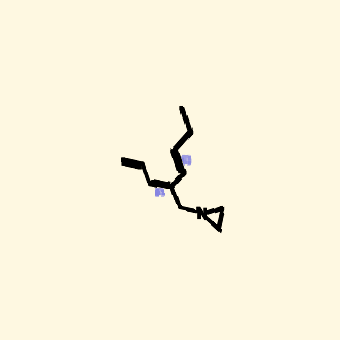 C=C/C=C(\C=C\CC)CN1CC1